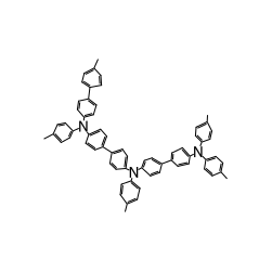 Cc1ccc(-c2ccc(N(c3ccc(C)cc3)c3ccc(-c4ccc(N(c5ccc(C)cc5)c5ccc(-c6ccc(N(c7ccc(C)cc7)c7ccc(C)cc7)cc6)cc5)cc4)cc3)cc2)cc1